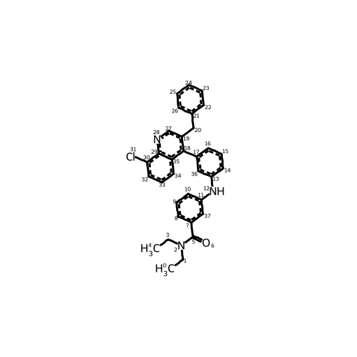 CCN(CC)C(=O)c1cccc(Nc2cccc(-c3c(Cc4ccccc4)cnc4c(Cl)cccc34)c2)c1